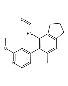 COc1cc(-c2c(C)cc3c(c2N[C]=O)CCC3)ccn1